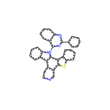 c1ccc(-c2nc(-n3c4ccccc4c4c5ccncc5c5sc6ccccc6c5c43)c3ccccc3n2)cc1